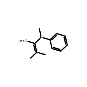 COC(=C(C)C)N(C)c1ccccc1